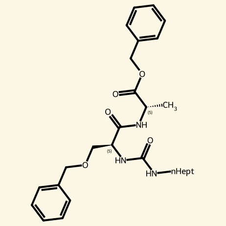 CCCCCCCNC(=O)N[C@@H](COCc1ccccc1)C(=O)N[C@@H](C)C(=O)OCc1ccccc1